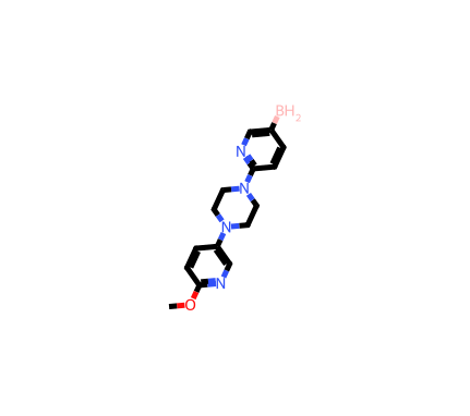 Bc1ccc(N2CCN(c3ccc(OC)nc3)CC2)nc1